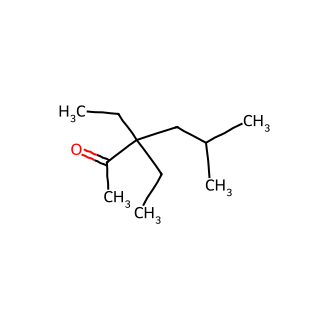 CCC(CC)(CC(C)C)C(C)=O